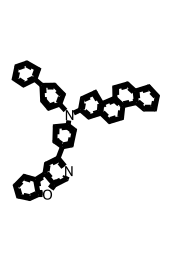 c1ccc(-c2ccc(N(c3ccc(-c4cc5c(cn4)oc4ccccc45)cc3)c3ccc4c(ccc5c6ccccc6ccc45)c3)cc2)cc1